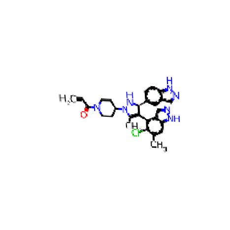 C=CC(=O)N1CCC(N2N[C@@H](c3ccc4[nH]ncc4c3)C(c3c(Cl)c(C)cc4[nH]ncc34)=C2C)CC1